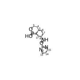 OB1OCCc2ccc(NOc3ncccn3)cc21